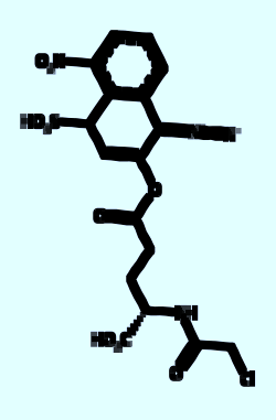 [N-]=[N+]=C1C(OC(=O)CC[C@H](NC(=O)CCl)C(=O)O)=CC(S(=O)(=O)O)c2c1cccc2[N+](=O)[O-]